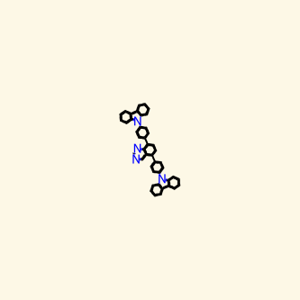 c1ccc2c(c1)c1ccccc1n2-c1ccc(-c2ccc(-c3ccc(-n4c5ccccc5c5ccccc54)cc3)c3ncncc23)cc1